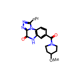 CCCc1nnc2c(=O)[nH]c3cc(C(=O)N4CCC(OC)CC4)ccc3n12